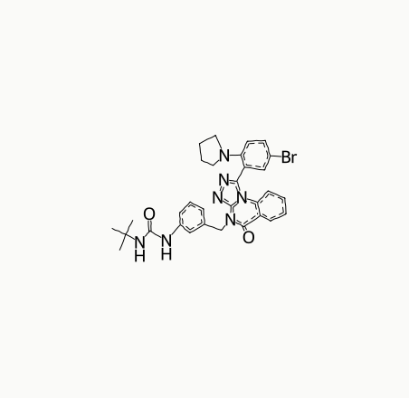 CC(C)(C)NC(=O)Nc1cccc(Cn2c(=O)c3ccccc3n3c(-c4cc(Br)ccc4N4CCCC4)nnc23)c1